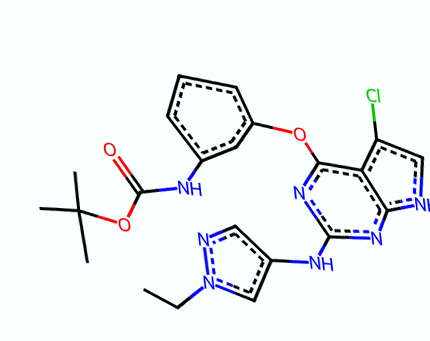 CCn1cc(Nc2nc(Oc3cccc(NC(=O)OC(C)(C)C)c3)c3c(Cl)c[nH]c3n2)cn1